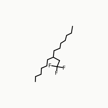 CCCCCCCC(CCCCCC)CC(F)(F)F